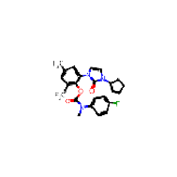 CN(C(=O)Oc1c(-n2ccn(C3CCCC3)c2=O)cc(C(F)(F)F)cc1C(F)(F)F)c1ccc(F)cc1